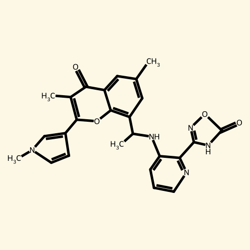 Cc1cc(C(C)Nc2cccnc2-c2noc(=O)[nH]2)c2oc(-c3ccn(C)c3)c(C)c(=O)c2c1